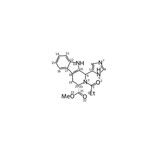 CCC(=O)N1C(c2cnc[nH]2)c2[nH]c3ccccc3c2C[C@H]1C(=O)OC